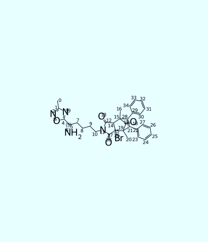 Cc1noc([C@@H](N)CCCCN2C(=O)C3C4(C)C(=O)C(C)(C(c5ccccc5)=C4c4ccccc4)C3(Br)C2=O)n1